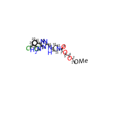 COCCOCCOCC(=O)N1CCC(NCc2nnc(-c3cccc(Cl)c3Cl)c(N)n2)CC1